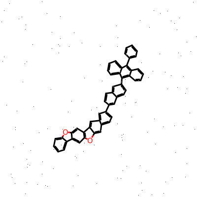 c1ccc(-c2c3ccccc3c(-c3ccc4cc(-c5ccc6cc7oc8cc9c(cc8c7cc6c5)oc5ccccc59)ccc4c3)c3ccccc23)cc1